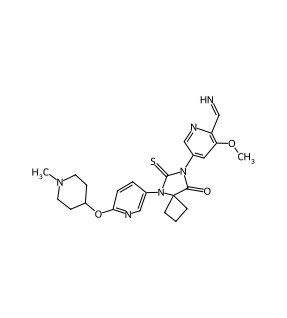 COc1cc(N2C(=O)C3(CCC3)N(c3ccc(OC4CCN(C)CC4)nc3)C2=S)cnc1C=N